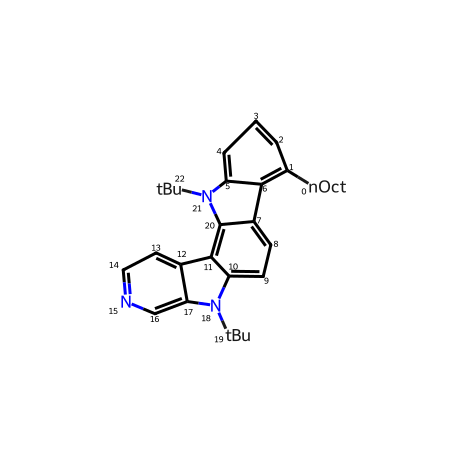 CCCCCCCCc1cccc2c1c1ccc3c(c4ccncc4n3C(C)(C)C)c1n2C(C)(C)C